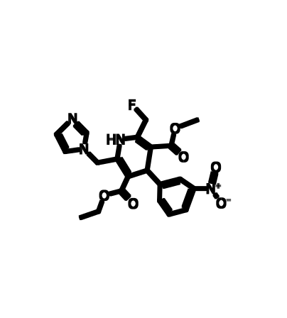 CCOC(=O)C1=C(Cn2ccnc2)NC(CF)=C(C(=O)OC)C1c1cccc([N+](=O)[O-])c1